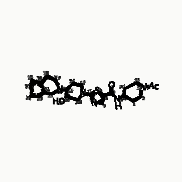 CC(=O)N1CCC(NC(=O)c2cnc(N3CC[C@@H](N4CCc5ccccc5C4)[C@H](O)C3)s2)CC1